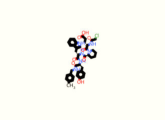 Cc1ccc(CNC(=O)[C@H](Cc2ccc(O)cc2)NC(=O)[C@H](Cc2c[nH]c3ccccc23)NC(=O)[C@@H]2CCCCN2C(=O)[C@H](CCC(=O)O)NC(=O)CCl)cc1